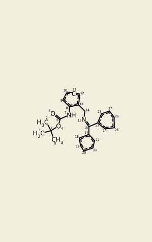 CC(C)(C)OC(=O)Nc1ccccc1CN=C(c1ccccc1)c1ccccc1